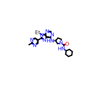 CCn1c(-c2cnc(C)nc2)nc2c(N[C@H]3CCN(C(=O)NC4CCCCC4)C3)ncnc21